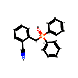 N#Cc1ccccc1CP(=O)(c1ccccc1)c1ccccc1